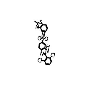 Cc1nc2c3c(ccc2s1)N3S(=O)(=O)c1ccc2nc(-c3c(Cl)cccc3Cl)[nH]c2c1